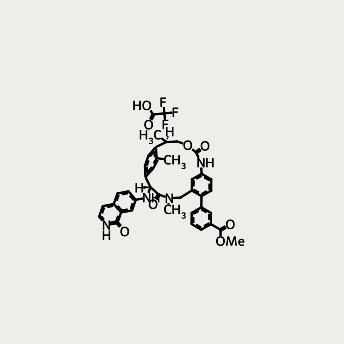 COC(=O)c1cccc(-c2ccc3cc2CN(C)C(=O)[C@H](Nc2ccc4cc[nH]c(=O)c4c2)c2ccc(c(C)c2)[C@@H](C)COC(=O)N3)c1.O=C(O)C(F)(F)F